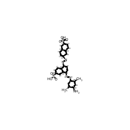 Cc1cc(N=Nc2ccc(N=Nc3ccc4cc(S(=O)(=O)O)ccc4c3)c3ccc(S(=O)(=O)O)cc23)c(C)cc1N